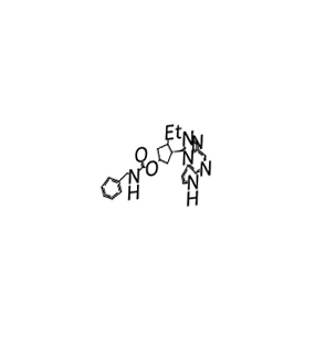 CC[C@@H]1C[C@H](OC(=O)NCc2ccccc2)C[C@@H]1c1nnc2cnc3[nH]ccc3n12